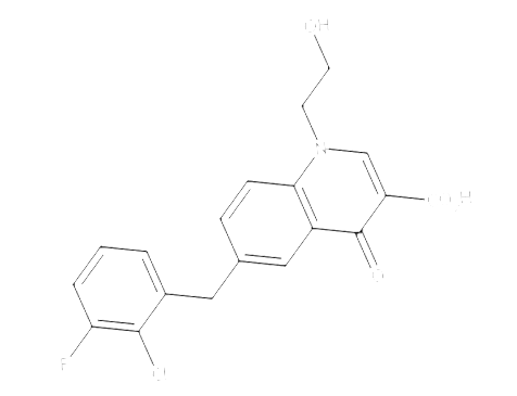 O=C(O)c1cn(CCO)c2ccc(Cc3cccc(F)c3Cl)cc2c1=O